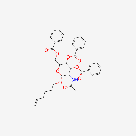 C=CCCCCOC1OC(COC(=O)c2ccccc2)C(OC(=O)c2ccccc2)C(OC(=O)c2ccccc2)C1NC(C)=O